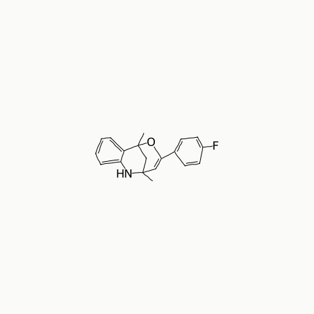 CC12C=C(c3ccc(F)cc3)OC(C)(C1)c1ccccc1N2